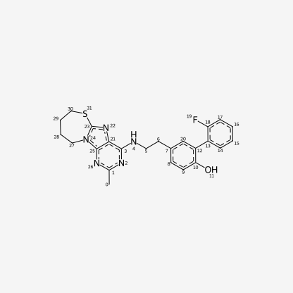 Cc1nc(NCCc2ccc(O)c(-c3ccccc3F)c2)c2nc3n(c2n1)CCCCS3